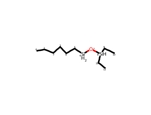 CCCCCC[SiH2]O[SiH](CC)CC